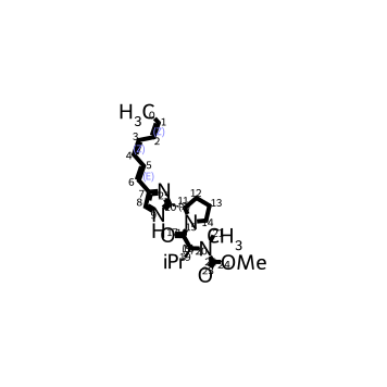 C\C=C/C=C\C=C\c1c[nH]c([C@@H]2CCCN2C(=O)[C@H](C(C)C)N(C)C(=O)OC)n1